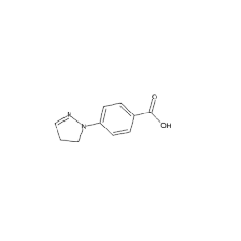 O=C(O)c1ccc(N2CCC=N2)cc1